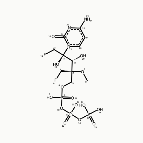 CO[C@](CF)(COP(=O)(O)OP(=O)(O)OP(=O)(O)O)[C@@H](O)[C@](O)(CF)n1ccc(N)nc1=O